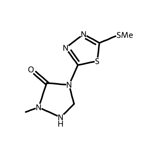 CSc1nnc(N2CNN(C)C2=O)s1